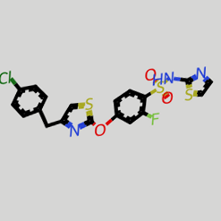 O=S(=O)(Nc1nccs1)c1ccc(Oc2nc(Cc3ccc(Cl)cc3)cs2)cc1F